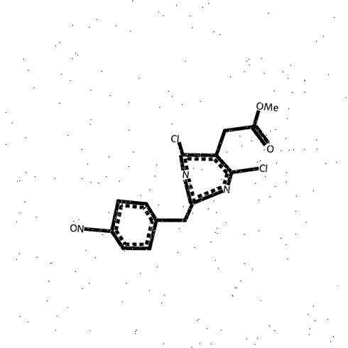 COC(=O)Cc1c(Cl)nc(Cc2ccc(N=O)cc2)nc1Cl